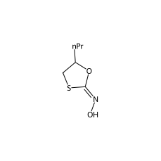 CCCC1CSC(=NO)O1